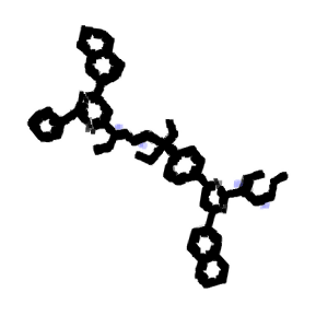 C=C/C(=C\C=C\C(CC)(CC)c1ccc(-c2cc(-c3ccc4ccccc4c3)nc(C(/C=C\CC)=C/C)n2)cc1)c1cc(-c2ccc3ccccc3c2)nc(-c2ccccc2)n1